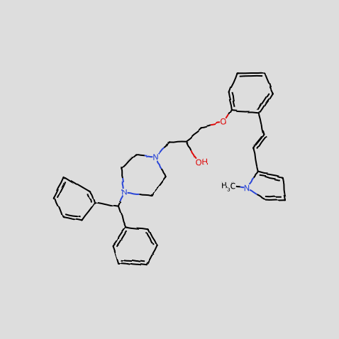 Cn1cccc1/C=C/c1ccccc1OCC(O)CN1CCN(C(c2ccccc2)c2ccccc2)CC1